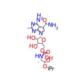 Cc1nc(N)c2c(C(N)=O)cn([C@@H]3OC(COP(=O)(O)N[C@@H](C)C(=O)OC(C)C)[C@@H](O)[C@H]3O)c2n1